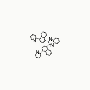 c1ccc(-c2ccc(-c3nc4ccccc4nc3-c3ccc(-c4ccccn4)c4ccccc34)c3ccccc23)nc1